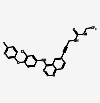 Cc1ccc(Oc2ccc(Nc3ncnc4ccc(C#CCNC(=O)NCC(F)(F)F)cc34)cc2Cl)cn1